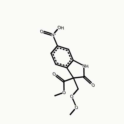 COOCC1(C(=O)OC)C(=O)Nc2cc([N+](=O)O)ccc21